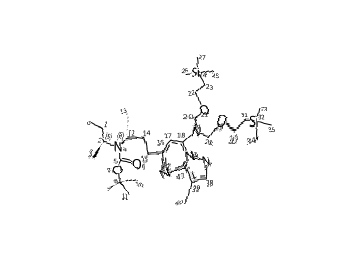 CC[C@H](C)N(C(=O)OC(C)(C)C)[C@H](C)CCc1cc(N(COCC[Si](C)(C)C)COCC[Si](C)(C)C)n2ncc(I)c2n1